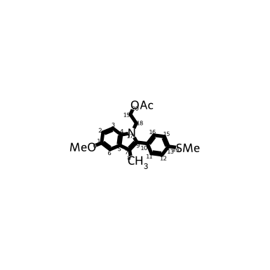 COc1ccc2c(c1)c(C)c(-c1ccc(SC)cc1)n2CCOC(C)=O